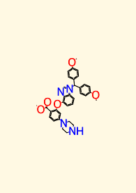 COC(=O)c1ccc(N2CCNCC2)cc1Oc1cccc2c1ncn2C(c1ccc(OC)cc1)c1ccc(OC)cc1